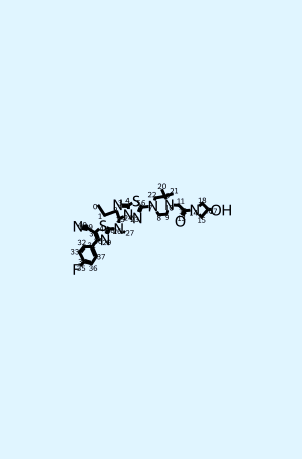 CCC1N=C2SC(N3CCN(CC(=O)N4CC(O)C4)C(C)(C)C3)=NN2C1N(C)c1nc(-c2ccc(F)cc2)c(C#N)s1